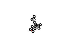 c1ccc(-c2ccccc2-c2nc(-c3ccc(-c4cccc5c4sc4ccccc45)cc3)nc(-c3ccc4c(c3)C3(c5ccccc5-c5ccccc53)c3ccccc3-4)n2)cc1